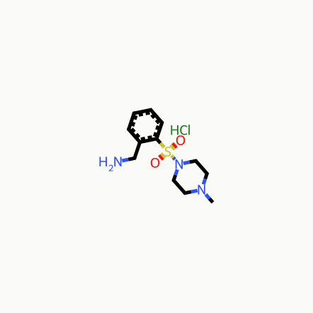 CN1CCN(S(=O)(=O)c2ccccc2CN)CC1.Cl